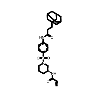 C=CC(=O)N[C@H]1CCCN(S(=O)(=O)c2ccc(NC(=O)CCC34CC5CC(CC(C5)C3)C4)cc2)C1